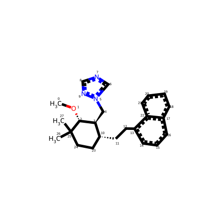 CO[C@@H]1[C@@H](Cn2cncn2)[C@H](CCc2cccc3ccccc23)CCC1(C)C